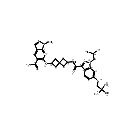 Cn1ncc2cc(C(N)=O)c(OC3CC4(CC(NC(=O)c5nn(CC(F)F)c6cc(OCC(C)(C)O)ccc56)C4)C3)nc21